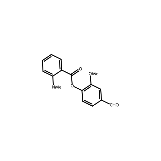 CNc1ccccc1C(=O)Oc1ccc(C=O)cc1OC